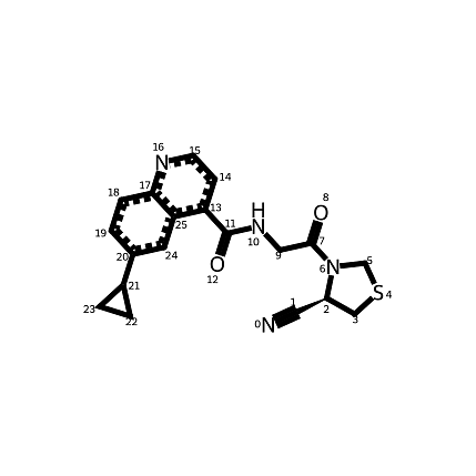 N#C[C@@H]1CSCN1C(=O)CNC(=O)c1ccnc2ccc(C3CC3)cc12